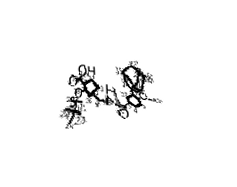 COc1ccc(C(=O)NCc2ccc(C(=O)O)c(O[Si](C)(C)C(C)(C)C)c2)cc1C12CC3CC(CC(C3)C1)C2